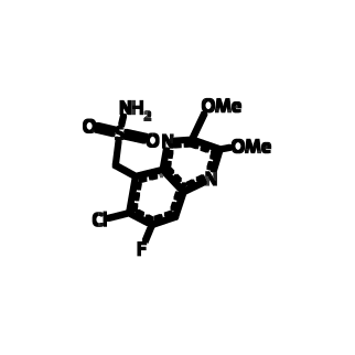 COc1nc2cc(F)c(Cl)c(CS(N)(=O)=O)c2nc1OC